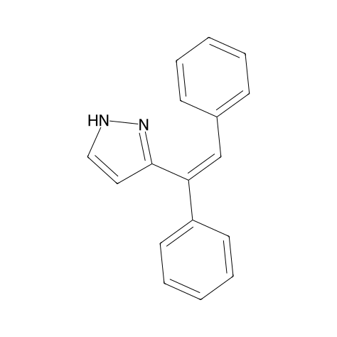 C(=C(c1ccccc1)c1cc[nH]n1)c1ccccc1